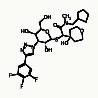 CN(CC1CCCC1)C(=O)C(S[C@@H]1O[C@H](CO)[C@H](O)[C@H](n2cc(-c3cc(F)c(F)c(F)c3)nn2)[C@H]1O)C1(O)CCOCC1